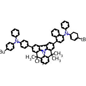 CC(C)(C)C1=CC=C(N(c2ccccc2)c2ccc(-c3cc4c5c(c3)c3cc(-c6ccc(N(c7ccccc7)c7ccc(C(C)(C)C)cc7)cc6)cc6c3n5-c3c(cccc3C4(C)C)C6(C)C)c3ccccc23)CC1